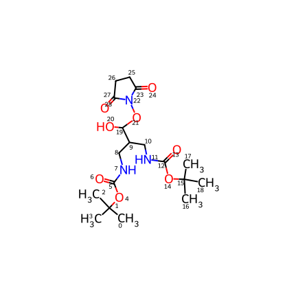 CC(C)(C)OC(=O)NCC(CNC(=O)OC(C)(C)C)C(O)ON1C(=O)CCC1=O